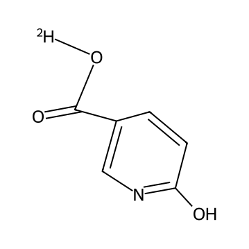 [2H]OC(=O)c1ccc(O)nc1